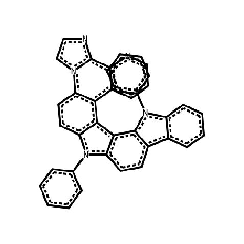 c1ccc(-n2c3ccc4c(c5cccnc5c5nccn45)c3c3c2ccc2c4ccccc4n(-c4ccccc4)c23)cc1